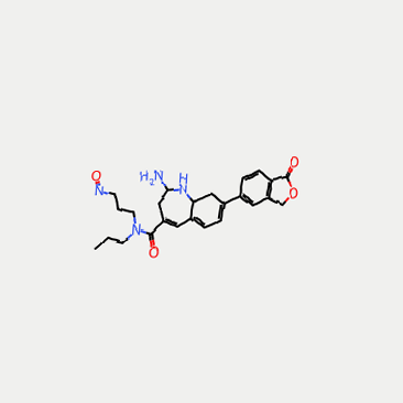 CCCN(CCCN=O)C(=O)C1=CC2=CC=C(c3ccc4c(c3)COC4=O)CC2NC(N)C1